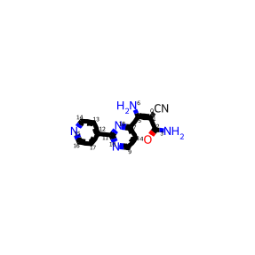 N#CC(C(N)=O)=C(N)c1ccnc(-c2ccncc2)n1